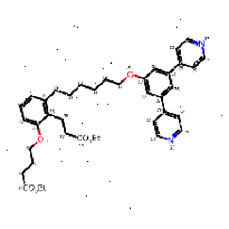 CCOC(=O)CCCOc1cccc(CCCCCCOc2cc(-c3ccncc3)cc(-c3ccncc3)c2)c1CCC(=O)OCC